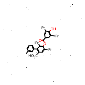 Cc1cccc(-c2c(C(=O)O)cc(C(C)C)c(OC(=O)c3cc(C(C)C)c(O)c(C(C)C)c3)c2C(C)C)c1